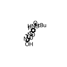 CC1c2ncc(O)cc2OC(=O)N1Cc1cccc(NC(=O)OC(C)(C)C)c1F